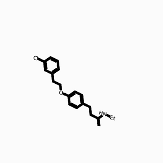 CCNC(C)CCc1ccc(OCCc2cccc(Cl)c2)cc1